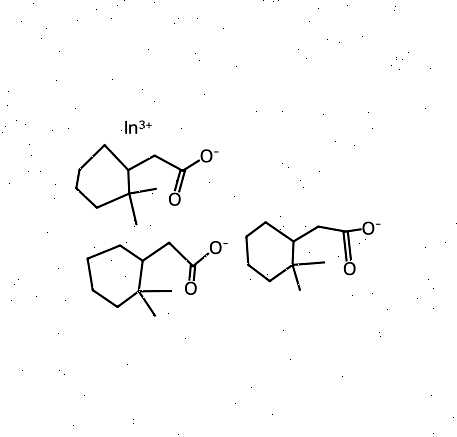 CC1(C)CCCCC1CC(=O)[O-].CC1(C)CCCCC1CC(=O)[O-].CC1(C)CCCCC1CC(=O)[O-].[In+3]